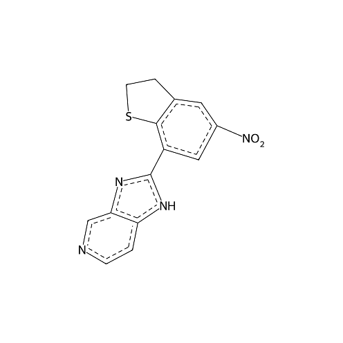 O=[N+]([O-])c1cc2c(c(-c3nc4cnccc4[nH]3)c1)SCC2